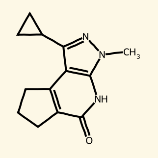 Cn1nc(C2CC2)c2c3c(c(=O)[nH]c21)CCC3